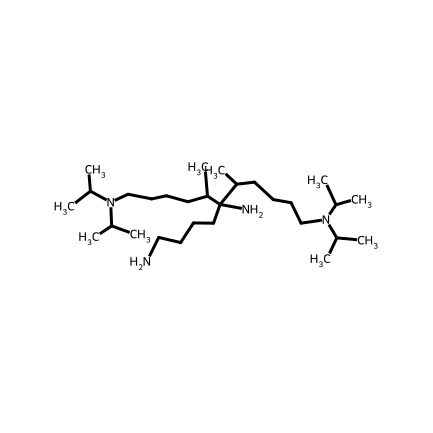 CC(C)N(CCCCC(C)C(N)(CCCCN)C(C)CCCCN(C(C)C)C(C)C)C(C)C